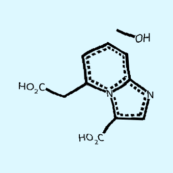 CO.O=C(O)Cc1cccc2ncc(C(=O)O)n12